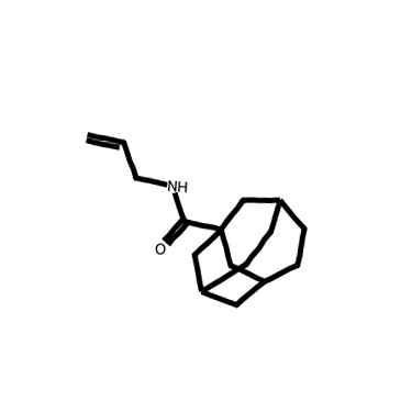 C=CCNC(=O)C12CC3CCC(CC(CC3)C1)C2